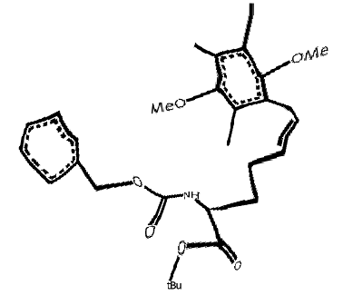 COc1c(C)c(C)c(OC)c(/C=C\CC[C@H](NC(=O)OCc2ccccc2)C(=O)OC(C)(C)C)c1C